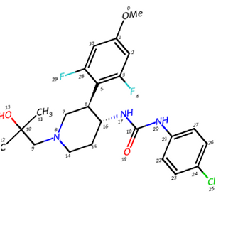 COc1cc(F)c([C@@H]2CN(CC(C)(C)O)CC[C@H]2NC(=O)Nc2ccc(Cl)cc2)c(F)c1